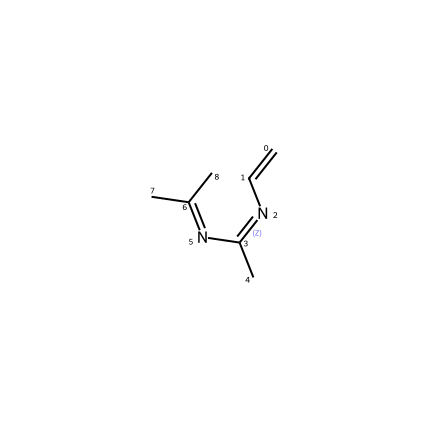 C=C/N=C(/C)N=C(C)C